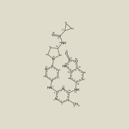 Cc1cnc(Nc2ccc(N3CCC(NC(=O)C4CC4)C3)nc2)nc1Nc1ccc2oc(=O)[nH]c2c1